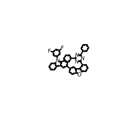 Fc1cc(F)cc(-n2c3ccccc3c3cc(-c4ccc5oc6cccc(-c7nc(-c8ccccc8)nc(-c8ccccc8)n7)c6c5c4)ccc32)c1